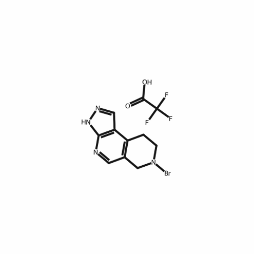 BrN1CCc2c(cnc3[nH]ncc23)C1.O=C(O)C(F)(F)F